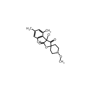 CON1CCC2(CC1)OC(=O)C(Cl)(c1c(C)cc(C)cc1C)C2=O